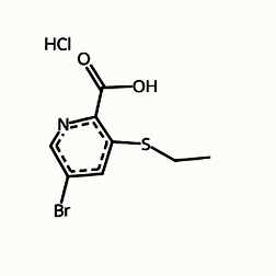 CCSc1cc(Br)cnc1C(=O)O.Cl